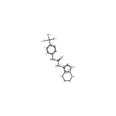 O=C(Nc1ccc(C(F)(F)F)cc1)Nc1cnn2c1CCCC2